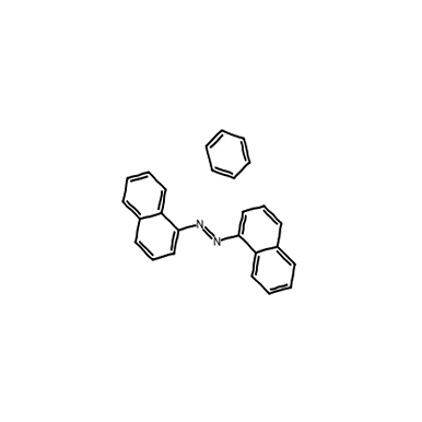 c1ccc2c(N=Nc3cccc4ccccc34)cccc2c1.c1ccccc1